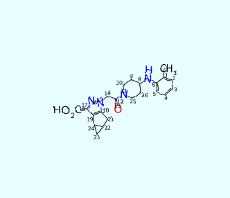 Cc1ccccc1NC1CCN(C(=O)Cn2nc(C(=O)O)c3c2CC2CC32)CC1